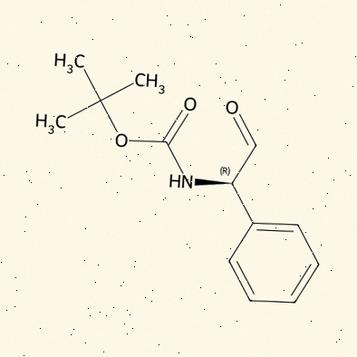 CC(C)(C)OC(=O)N[C@@H](C=O)c1ccccc1